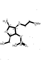 B[C@@H]1O[C@H](CO)C(O[PH](=O)O)[C@@H]1OCCOC